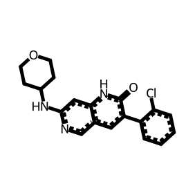 O=c1[nH]c2cc(NC3CCOCC3)ncc2cc1-c1ccccc1Cl